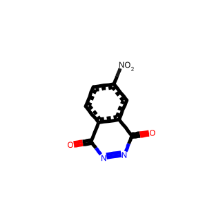 O=C1N=NC(=O)c2cc([N+](=O)[O-])ccc21